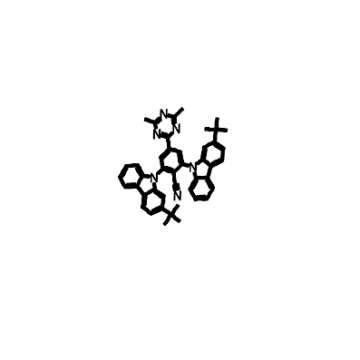 Cc1nc(C)nc(-c2cc(-n3c4ccccc4c4ccc(C(C)(C)C)cc43)c(C#N)c(-n3c4ccccc4c4ccc(C(C)(C)C)cc43)c2)n1